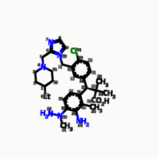 CCC1CCN(Cc2nccn2Cc2cc([C@H](c3ccc(N(C)N)c(N)c3C)C(C)(C)C(=O)O)ccc2Cl)CC1